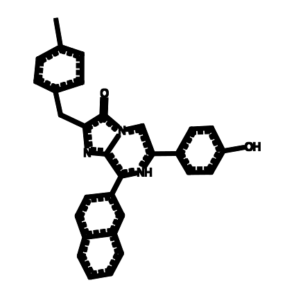 Cc1ccc(Cc2nc3c(-c4ccc5ccccc5c4)[nH]c(-c4ccc(O)cc4)cn-3c2=O)cc1